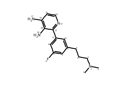 CN(C)CCCc1cc(F)cc(-c2nccc(N)c2N)c1